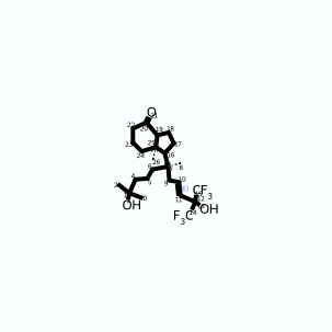 CC(C)(O)CCC[C@](C)(C/C=C/C(O)(C(F)(F)F)C(F)(F)F)C1CCC2C(=O)CCC[C@@]21C